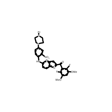 CCN1CCN(c2ccc(Nc3ccc4oc(C(=O)c5c(F)c(OC)cc(OC)c5F)cc4n3)c([N+](=O)[O-])c2)CC1